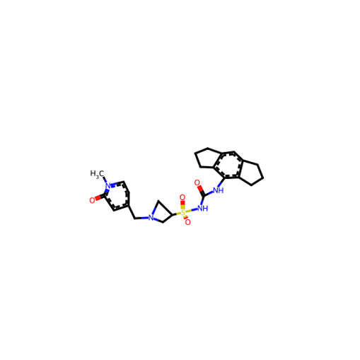 Cn1ccc(CN2CC(S(=O)(=O)NC(=O)Nc3c4c(cc5c3CCC5)CCC4)C2)cc1=O